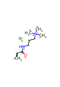 C=CC(=O)NCCC[N+](C)(C)C.[Br-]